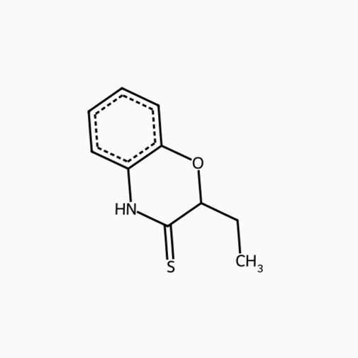 CCC1Oc2ccccc2NC1=S